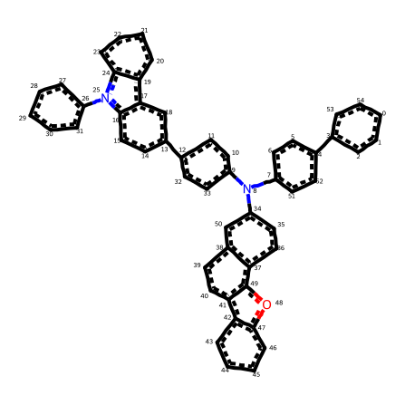 c1ccc(-c2ccc(N(c3ccc(-c4ccc5c(c4)c4ccccc4n5-c4ccccc4)cc3)c3ccc4c(ccc5c6ccccc6oc45)c3)cc2)cc1